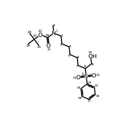 CN(CCCCCCC(CO)S(=O)(=O)c1ccccc1)C(=O)OC(C)(C)C